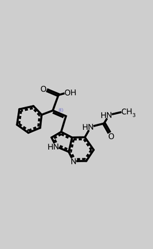 CNC(=O)Nc1ccnc2[nH]cc(/C=C(/C(=O)O)c3ccccc3)c12